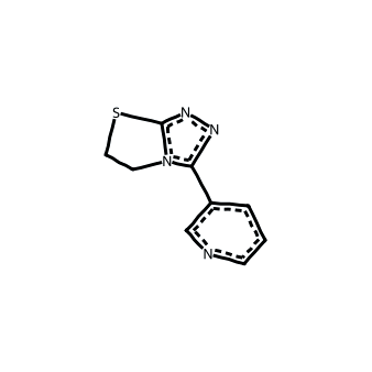 c1cncc(-c2nnc3n2CCS3)c1